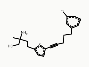 CC(N)(CO)CCc1ccc(C#CCCCc2cccc(Cl)c2)s1